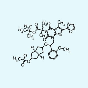 COc1ccccc1C(Cn1c(=O)n(C(C)(C)C(=O)OC(C)(C)C)c(=O)c2c(C)c(-c3ncco3)sc21)OC1C[C@@H]2CC(OS(C)(=O)=O)C[C@@H]2C1